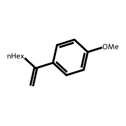 C=C(CCCCCC)c1ccc(OC)cc1